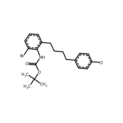 CC(C)(C)OC(=O)Nc1c(Br)cccc1CCCCc1ccc(Cl)cc1